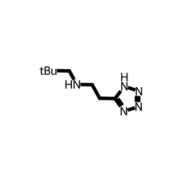 CC(C)(C)CNCCc1nnn[nH]1